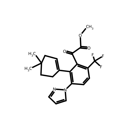 COC(=O)C(=O)c1c(C(F)(F)F)ccc(-n2cccn2)c1C1=CCC(C)(C)CC1